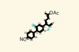 C=C(F)/C(=C\C=C(/C)OC(C)=O)c1ccc(-c2ccc(C#N)cc2)c(F)c1